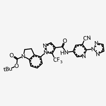 CC(C)(C)OC(=O)N1CCc2c1cccc2-n1ncc(C(=O)Nc2cnc(-n3nccn3)c(C#N)c2)c1C(F)(F)F